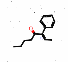 C/C=C(/C(=O)CCCC)c1ccccc1